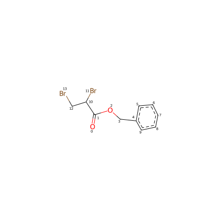 O=C(OCc1ccccc1)C(Br)CBr